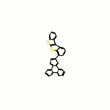 c1ccc2c(c1)sc1sc3c(-c4ccc5c6ccccc6c6ccccc6c5c4)cccc3c12